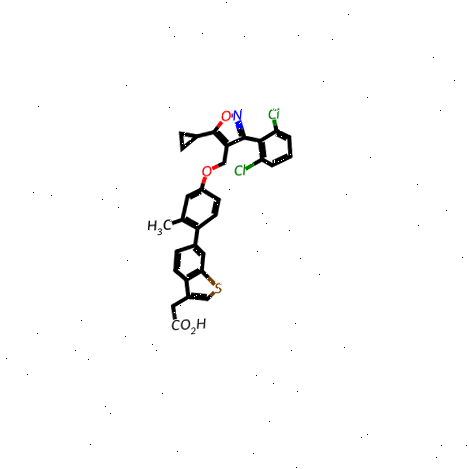 Cc1cc(OCc2c(-c3c(Cl)cccc3Cl)noc2C2CC2)ccc1-c1ccc2c(CC(=O)O)csc2c1